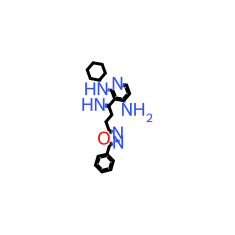 N=C(CCc1nnc(-c2ccccc2)o1)c1c(N)ccnc1NC1CCCCC1